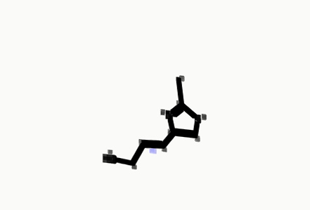 Cc1nc(/C=C/CO)cs1